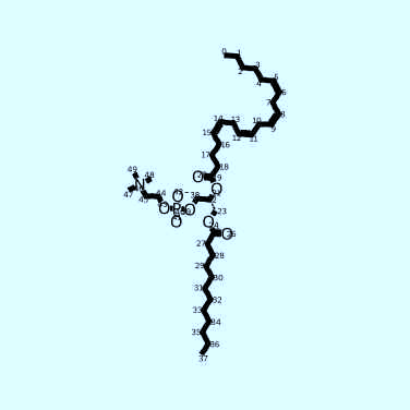 CCCCC/C=C\C/C=C\C/C=C\C/C=C\CCCC(=O)O[C@H](COC(=O)CCCCCCCCCCC)COP(=O)([O-])OCC[N+](C)(C)C